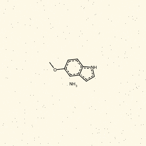 COc1ccc2[nH]ccc2c1.N